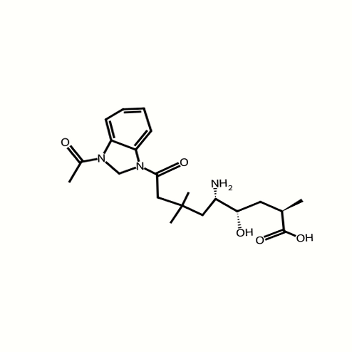 CC(=O)N1CN(C(=O)CC(C)(C)C[C@H](N)[C@@H](O)C[C@@H](C)C(=O)O)c2ccccc21